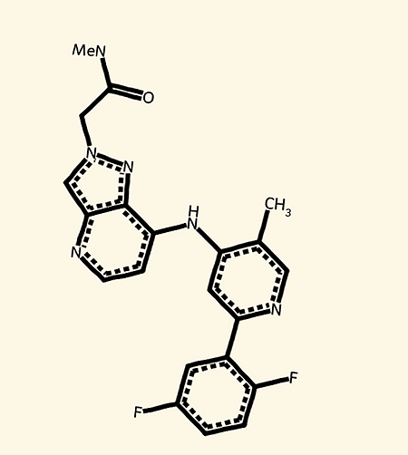 CNC(=O)Cn1cc2nccc(Nc3cc(-c4cc(F)ccc4F)ncc3C)c2n1